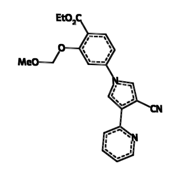 CCOC(=O)c1ccc(-n2cc(C#N)c(-c3ccccn3)c2)cc1OCOC